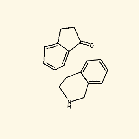 O=C1CCc2ccccc21.c1ccc2c(c1)CCNC2